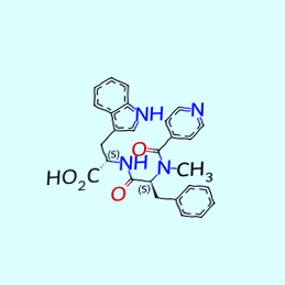 CN(C(=O)c1ccncc1)[C@@H](Cc1ccccc1)C(=O)N[C@@H](Cc1c[nH]c2ccccc12)C(=O)O